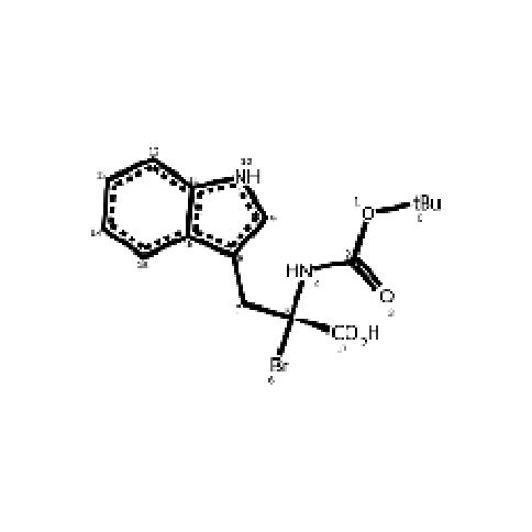 CC(C)(C)OC(=O)N[C@](Br)(Cc1c[nH]c2ccccc12)C(=O)O